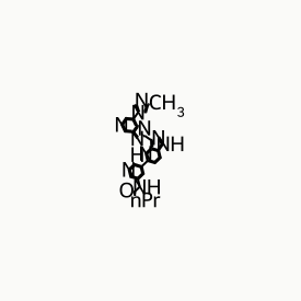 CCCC(=O)Nc1cncc(-c2ccc3[nH]nc(-c4nc5c(-n6cnc(C)c6)cncc5[nH]4)c3n2)c1